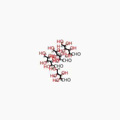 O=C[C@@H](O)[C@@H](O)[C@H](O)[C@H](O)CO.O=C[C@H](O)[C@@H](O)[C@@H](O)[C@H](O)CO.O=C[C@H](O)[C@@H](O)[C@H](O)CO.O=C[C@H](O)[C@@H](O)[C@H](O)[C@H](O)CO